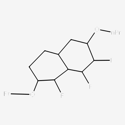 CCCOC1CC2CCC(OCC)C(F)C2C(F)C1F